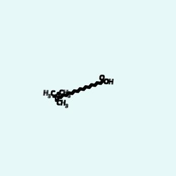 CC[N+](CC)(CC)CCCCCCCCCCCCCCCC(=O)O